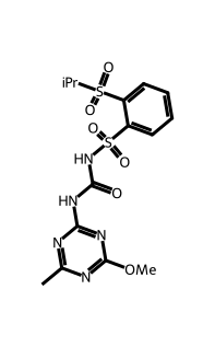 COc1nc(C)nc(NC(=O)NS(=O)(=O)c2ccccc2S(=O)(=O)C(C)C)n1